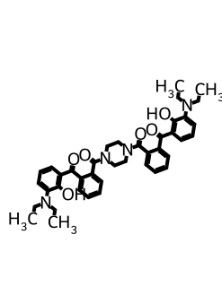 CCN(CC)c1cccc(C(=O)c2ccccc2C(=O)N2CCN(C(=O)c3ccccc3C(=O)c3cccc(N(CC)CC)c3O)CC2)c1O